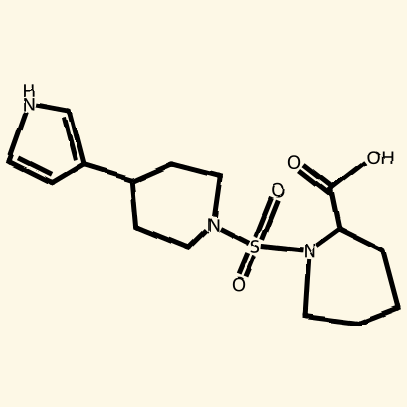 O=C(O)C1CCCCN1S(=O)(=O)N1CCC(c2cc[nH]c2)CC1